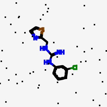 N=C(NCc1nccs1)Nc1cccc(Cl)c1